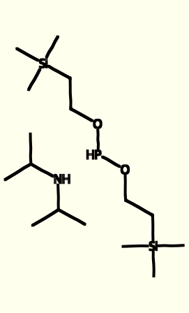 CC(C)NC(C)C.C[Si](C)(C)CCOPOCC[Si](C)(C)C